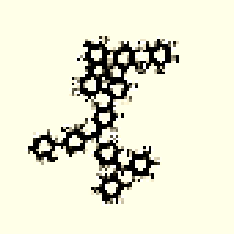 c1ccc(-c2ccc(N(c3ccc(-c4ccc5c(c4)C4(c6ccccc6-c6ccccc64)c4ccc6c(c4-5)Oc4ccccc4O6)cc3)c3ccc(N(c4ccccc4)c4ccccc4)cc3)cc2)cc1